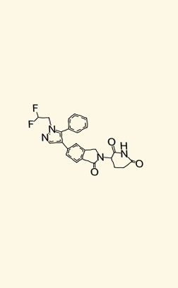 O=C1CCC(N2Cc3cc(-c4cnn(CC(F)F)c4-c4ccccc4)ccc3C2=O)C(=O)N1